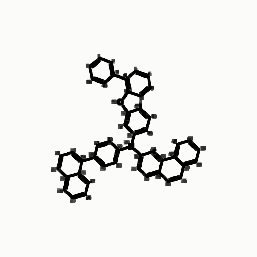 c1ccc(-c2cccc3c2oc2cc(N(c4ccc(-c5cccc6ccccc56)cc4)c4ccc5ccc6ccccc6c5c4)ccc23)cc1